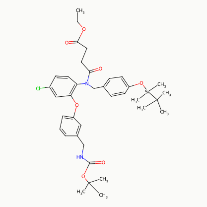 CCOC(=O)CCC(=O)N(Cc1ccc(O[Si](C)(C)C(C)(C)C)cc1)c1ccc(Cl)cc1Oc1cccc(CNC(=O)OC(C)(C)C)c1